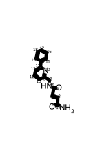 NC(=O)C=CC(=O)NCc1cccc(-c2ccccc2)n1